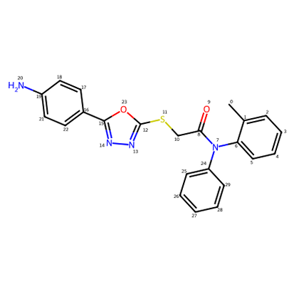 Cc1ccccc1N(C(=O)CSc1nnc(-c2ccc(N)cc2)o1)c1ccccc1